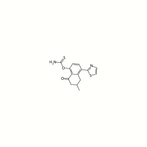 CC1CC(=O)c2c(OC(N)=S)ccc(-c3nccs3)c2C1